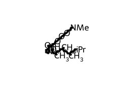 CNCCCOCCOCCOCCCNC(=O)C1CCCN1C(=O)CC(C)CCCC(C)CCCC(C)CCCC(C)C